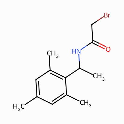 Cc1cc(C)c(C(C)NC(=O)CBr)c(C)c1